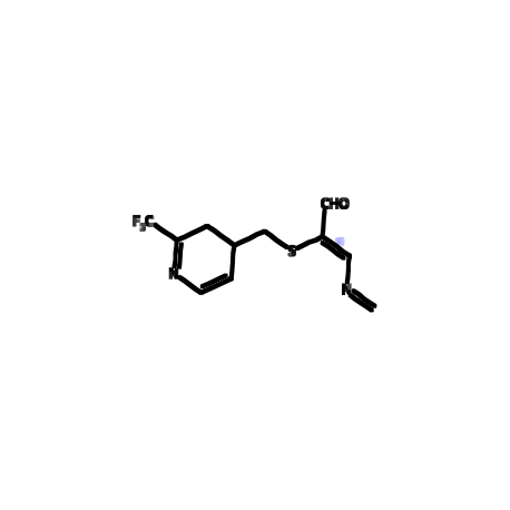 C=N/C=C(/C=O)SCC1C=CN=C(C(F)(F)F)C1